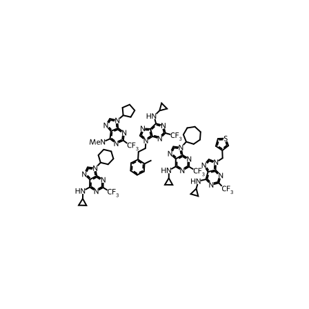 CNc1nc(C(F)(F)F)nc2c1ncn2C1CCCC1.Cc1ccccc1CCn1cnc2c(NC3CC3)nc(C(F)(F)F)nc21.FC(F)(F)c1nc(NC2CC2)c2ncn(C3CCCCC3)c2n1.FC(F)(F)c1nc(NC2CC2)c2ncn(C3CCCCCC3)c2n1.FC(F)(F)c1nc(NC2CC2)c2ncn(Cc3ccsc3)c2n1